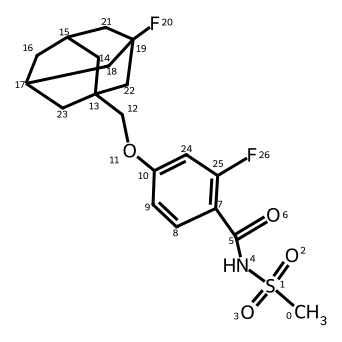 CS(=O)(=O)NC(=O)c1ccc(OCC23CC4CC(CC(F)(C4)C2)C3)cc1F